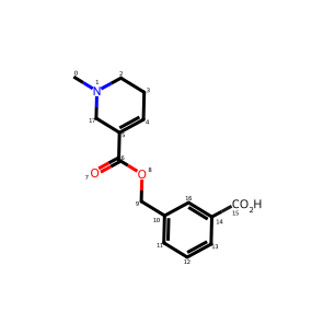 CN1CCC=C(C(=O)OCc2cccc(C(=O)O)c2)C1